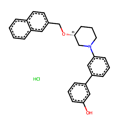 Cl.Oc1cccc(-c2cccc(N3CCC[C@@H](OCc4ccc5ccccc5c4)C3)c2)c1